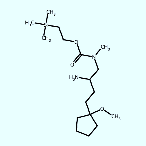 COC1(CCC(N)CN(C)C(=O)OCC[Si](C)(C)C)CCCC1